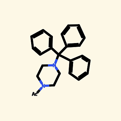 CC(=O)N1CCN(C(c2ccccc2)(c2ccccc2)c2ccccc2)CC1